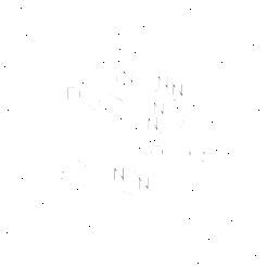 CCOc1cc(-c2nnc3cc(C4=CC=C4)c(OCc4nccn4Cc4ccccc4)nn23)no1